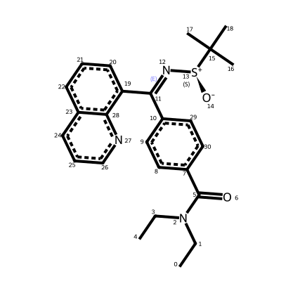 CCN(CC)C(=O)c1ccc(/C(=N\[S@+]([O-])C(C)(C)C)c2cccc3cccnc23)cc1